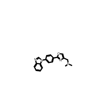 CN(C)Cc1coc(-c2ccc(-n3cnc4ccccc43)cc2)n1